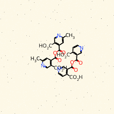 Cc1cc(C(=O)OC(=O)c2cc(C)ncc2C(=O)O)c(C(=O)O)cn1.O=C(O)c1ccncc1C(=O)OC(=O)c1cnccc1C(=O)O